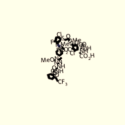 COC(=O)CSc1cc(/N=c2\sc(=O)n3n2CCCC3)c(F)cc1Cl.COc1c(Cl)ccc(Cl)c1C(=O)O.COc1nc(C)nc(NC(=O)NS(=O)(=O)c2ccccc2CCC(F)(F)F)n1.O=C(O)CNCP(=O)(O)O